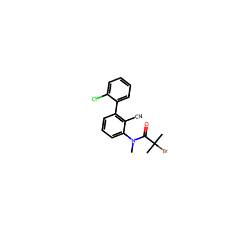 CN(C(=O)C(C)(C)Br)c1cccc(-c2ccccc2Cl)c1C#N